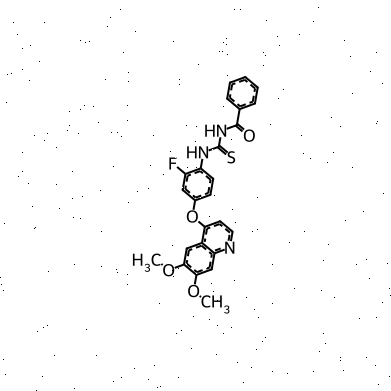 COc1cc2nccc(Oc3ccc(NC(=S)NC(=O)c4ccccc4)c(F)c3)c2cc1OC